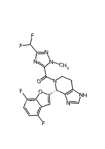 Cn1nc(C(F)F)nc1C(=O)N1CCc2[nH]cnc2[C@@H]1c1cc2c(F)ccc(F)c2o1